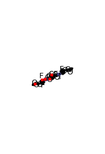 C=CC(=O)OCOc1ccc(/C=C/C(=O)Oc2ccc(OC(=O)/C=C/c3ccc(OCOC(=O)C=C)c(F)c3)c(C(F)(F)F)c2C(F)(F)F)cc1F